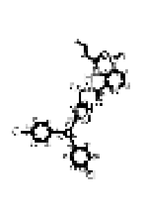 CCCC(=O)Oc1c(OC)ccnc1C(=O)N[C@@H](C)c1noc(C2C(c3ccc(Cl)cc3)C2c2ccc(Cl)cc2)n1